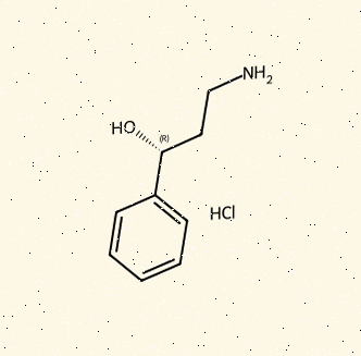 Cl.NCC[C@@H](O)c1ccccc1